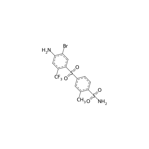 Cc1cc(S(=O)(=O)c2cc(Br)c(N)cc2C(F)(F)F)ccc1S(N)(=O)=O